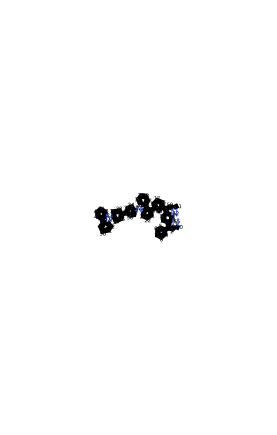 Cc1cc(-c2ccccc2)c2ccc3c(-c4cccc(-c5cccc6c5c5ccccc5n6-c5ccc(-c6ccc(-n7c8ccccc8c8ccccc87)cc6)cc5)c4)cc(C)nc3c2n1